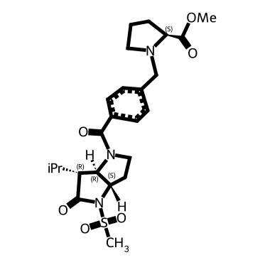 COC(=O)[C@@H]1CCCN1Cc1ccc(C(=O)N2CC[C@H]3[C@H]2[C@@H](C(C)C)C(=O)N3S(C)(=O)=O)cc1